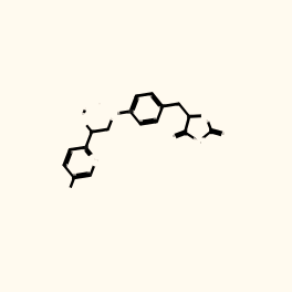 CCc1ccc(C(COc2ccc(CC3SC(=O)NC3=O)cc2)OC=O)nc1